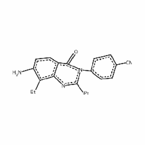 CCc1c(N)ccc2c(=O)n(-c3ccc(C#N)cc3)c(C(C)C)nc12